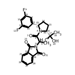 CC(C(=O)N1[C@H](c2cc(F)cc(F)c2)CC[C@@H]1C(C)(C)O)N1C(=O)c2ccccc2C1=O